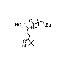 CCCC(C)(C)C(=O)CC[C@H](NC(=O)C(C)(C)CC(C)(C)C)C(=O)O